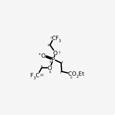 CCOC(=O)CCP(=O)(OCC(F)(F)F)OCC(F)(F)F